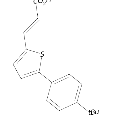 CC(C)(C)c1ccc(-c2ccc(C=CC(=O)O)s2)cc1